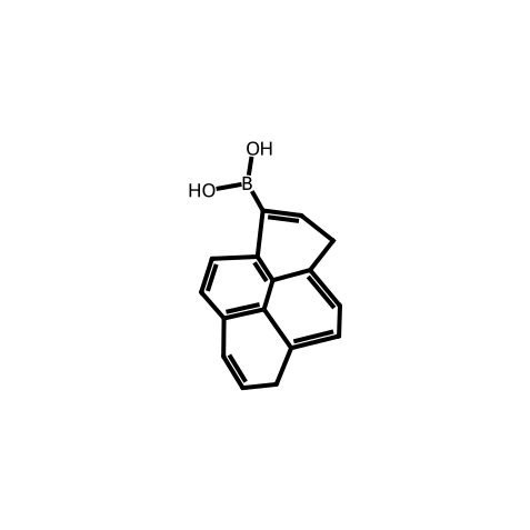 OB(O)C1=CCc2ccc3c4c(ccc1c24)C=CC3